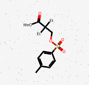 CCC(CC)(COS(=O)(=O)c1ccc(C)cc1)C(=O)OC